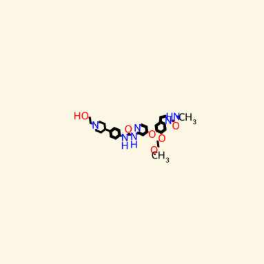 CNC(=O)n1ccc2cc(Oc3ccnc(NC(=O)Nc4ccc(C5CCN(CCO)CC5)cc4)c3)c(OCCOC)cc21